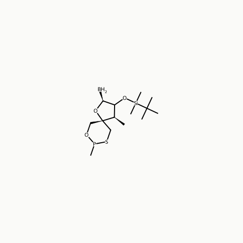 B[C@@H]1O[C@]2(COP(C)SC2)[C@H](C)C1O[Si](C)(C)C(C)(C)C